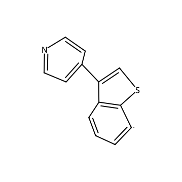 [c]1cccc2c(-c3ccncc3)csc12